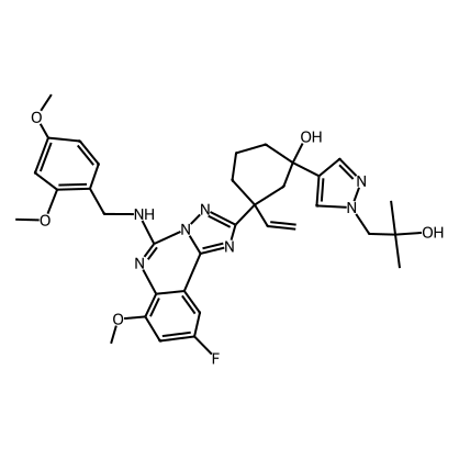 C=CC1(c2nc3c4cc(F)cc(OC)c4nc(NCc4ccc(OC)cc4OC)n3n2)CCCC(O)(c2cnn(CC(C)(C)O)c2)C1